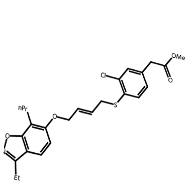 CCCc1c(OCC=CCSc2ccc(CC(=O)OC)cc2Cl)ccc2c(CC)noc12